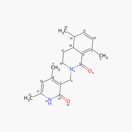 CC1=C2C(=O)N(Cc3c(C)cc(C)[nH]c3=O)CCC2C(C)C=C1